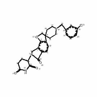 O=C1CCC(N2Cc3c(ccc4c3OCC43CCN(Cc4cccc(Cl)c4)CC3)C2=O)C(=O)N1